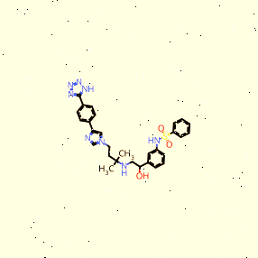 CC(C)(CCn1cnc(-c2ccc(-c3nnn[nH]3)cc2)c1)NCC(O)c1cccc(NS(=O)(=O)c2ccccc2)c1